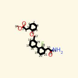 COC(=O)Cc1ccccc1OCc1cccc(-c2cccc(CC(N)=O)c2F)c1